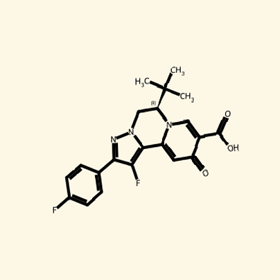 CC(C)(C)[C@@H]1Cn2nc(-c3ccc(F)cc3)c(F)c2-c2cc(=O)c(C(=O)O)cn21